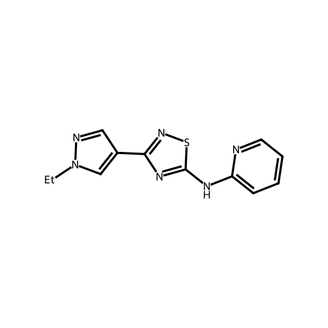 CCn1cc(-c2nsc(Nc3ccccn3)n2)cn1